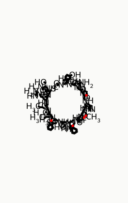 CCCC[C@H]1C(=O)N(C)[C@@H](CCCC)C(=O)N[C@@H](CCCNC(=N)N)C(=O)NC(C(=O)N[C@@H](CO)C(N)=O)CSCC(=O)N[C@@H](Cc2ccc(O)cc2)C(=O)N(C)[C@@H](C)C(=O)N[C@@H](CC(N)=O)C(=O)N2CCC[C@H]2C(=O)N[C@@H](Cc2cnc[nH]2)C(=O)N[C@@H](CC(C)C)C(=O)N2CCCC2(C=O)N[C@@H](Cc2c[nH]c3ccccc23)C(=O)N[C@@H](CO)C(=O)N[C@@H](Cc2csc3ccccc23)C(=O)N1C